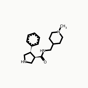 CN1CCC(CNC(=O)[C@H]2CNC[C@@H]2c2ccccc2)CC1